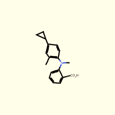 Cc1cc(C2CC2)ccc1N(C)c1ccccc1C(=O)O